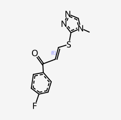 Cn1cnnc1S/C=C/C(=O)c1ccc(F)cc1